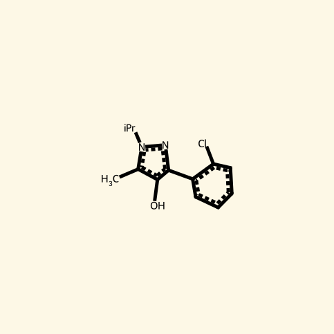 Cc1c(O)c(-c2ccccc2Cl)nn1C(C)C